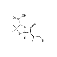 CC(CBr)[C@@H]1C(=O)N2[C@@H]1SC(C)(C)[C@@H]2C(=O)O